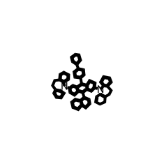 C1=CC2=C(CC1)CCc1ccccc1N2c1ccc2c(-c3ccc(-c4ccccc4)cc3)c3cc(N4c5ccccc5CCc5ccccc54)ccc3c(-c3cccc4ccccc34)c2c1